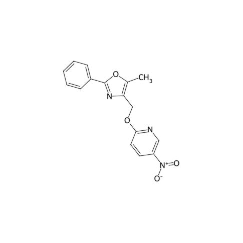 Cc1oc(-c2ccccc2)nc1COc1ccc([N+](=O)[O-])cn1